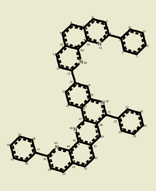 c1ccc(-c2ccc3ccc4ccc(-c5ccc6c(c5)nc(-c5ccccc5)c5cc7ccc8ccc(-c9ccccc9)nc8c7nc56)nc4c3n2)cc1